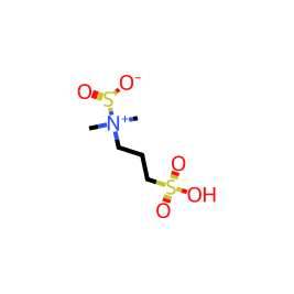 C[N+](C)(CCCS(=O)(=O)O)S(=O)[O-]